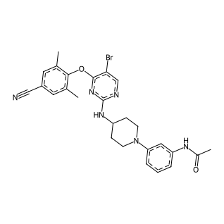 CC(=O)Nc1cccc(N2CCC(Nc3ncc(Br)c(Oc4c(C)cc(C#N)cc4C)n3)CC2)c1